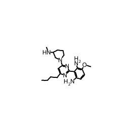 CCCCc1cc(N2CCCC(NC)C2)nc(-c2c(N)ccc(OC)c2N)n1